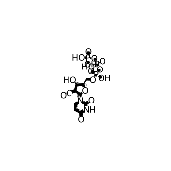 O=C=C1[C@H](n2ccc(=O)[nH]c2=O)O[C@H](COP(=O)(O)OP(=O)(O)OP(=O)(O)O)[C@H]1O